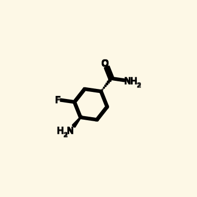 NC(=O)[C@@H]1CC[C@@H](N)C(F)C1